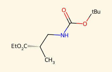 CCOC(=O)[C@@H](C)CNC(=O)OC(C)(C)C